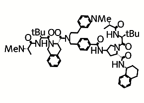 CN[C@@H](C)C(=O)N[C@H](C(=O)N1CC(NC(=O)c2ccc(CN(CCc3ccccc3)C(=O)[C@@H]3Cc4ccccc4CN3C(=O)[C@@H](NC(=O)[C@H](C)NC)C(C)(C)C)cc2)C[C@H]1C(=O)N[C@@H]1CCCc2ccccc21)C(C)(C)C